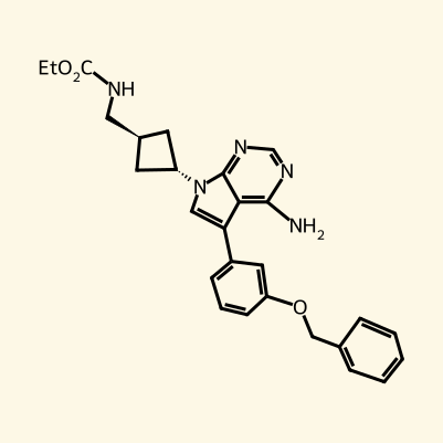 CCOC(=O)NC[C@H]1C[C@H](n2cc(-c3cccc(OCc4ccccc4)c3)c3c(N)ncnc32)C1